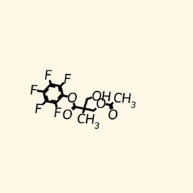 CC(=O)OCC(C)(CO)C(=O)Oc1c(F)c(F)c(F)c(F)c1F